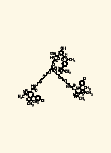 Cc1ncsc1-c1ccc([C@H](C)NC(=O)[C@@H]2C[C@H](O)CN2C(=O)[C@@H](NC(=O)COCC(C)(COCCOCCOCCNC(=O)C[C@@H]2N=C(c3ccc(Cl)cc3)c3c(sc(C)c3C)-n3c(C)nnc32)COCCOCCOCCNC(=O)C[C@@H]2N=C(c3ccc(Cl)cc3)c3c(sc(C)c3C)-n3c(C)nnc32)C(C)(C)C)cc1